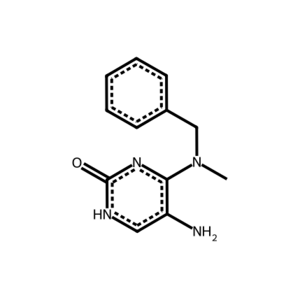 CN(Cc1ccccc1)c1nc(=O)[nH]cc1N